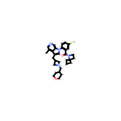 Cc1cncc2c1c(CC1CN(CC3CCOCC3)C1)cn2-c1ccc(F)cc1C(=O)N1CCC12CCC2